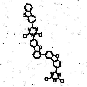 Clc1nc(Cl)nc(-c2ccc3oc4ccc(-c5cccc6c5oc5cc(-[n+]7c(Cl)nc(-c8ccc9c(c8)sc8ccccc89)nc7Cl)ccc56)cc4c3c2)n1